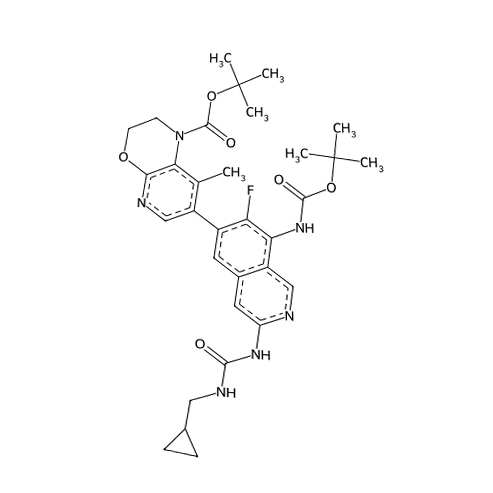 Cc1c(-c2cc3cc(NC(=O)NCC4CC4)ncc3c(NC(=O)OC(C)(C)C)c2F)cnc2c1N(C(=O)OC(C)(C)C)CCO2